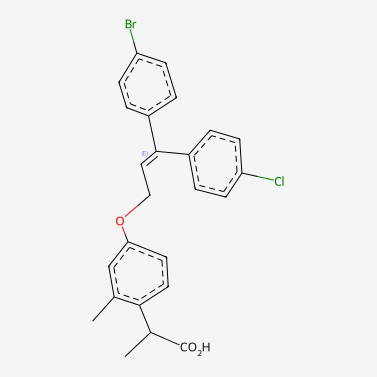 Cc1cc(OC/C=C(\c2ccc(Cl)cc2)c2ccc(Br)cc2)ccc1C(C)C(=O)O